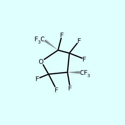 FC(F)(F)[C@@]1(F)OC(F)(F)[C@@](F)(C(F)(F)F)C1(F)F